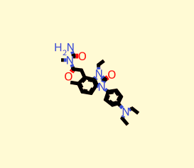 CCN(CC)c1ccc(-n2c(=O)n(CC)c3c(CC(=O)N(C)C(N)=O)c(C)ccc32)cc1